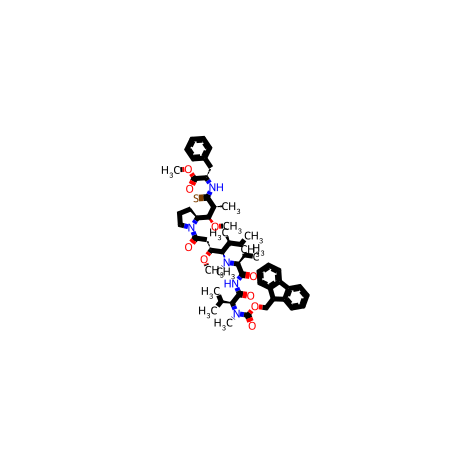 CC[C@H](C)[C@@H]([C@@H](CC(=O)N1CCC[C@H]1[C@H](OC)[C@@H](C)C(=S)N[C@@H](Cc1ccccc1)C(=O)OC)OC)N(C)[C@H](C(=O)NC(=O)[C@H](C(C)C)N(C)C(=O)OCC1c2ccccc2-c2ccccc21)C(C)C